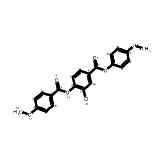 COc1ccc(OC(=O)c2ccc(OC(=O)c3ccc(OC)cc3)c(Cl)c2)cc1